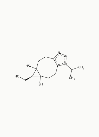 CC(C)n1nnc2c1CCC1(S)[C@@H](CO)C1(S)CC2